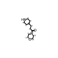 O=C(CCC1CCNCC1)N1CCOCC1